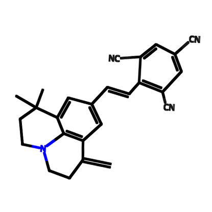 C=C1CCN2CCC(C)(C)c3cc(C=Cc4c(C#N)cc(C#N)cc4C#N)cc1c32